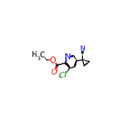 CCOC(=O)c1ncc(C2(C#N)CC2)cc1Cl